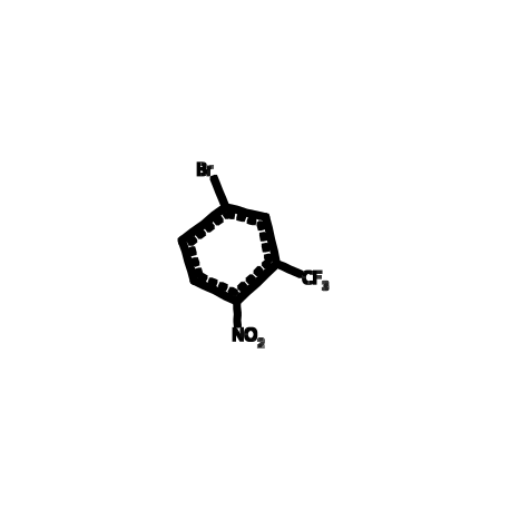 O=[N+]([O-])c1ccc(Br)cc1C(F)(F)F